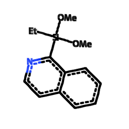 CC[Si](OC)(OC)c1nccc2ccccc12